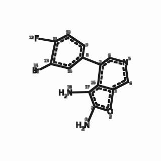 Nc1oc2cncc(-c3ccc(F)c(Br)c3)c2c1N